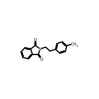 Cc1ccc(CCN2C(=O)c3ccccc3C2=O)cc1